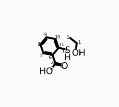 CCO.O=C(O)c1ccccc1S